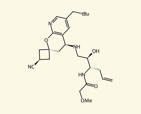 C=CC[C@H](NC(=O)COC)[C@H](O)CN[C@H]1C[C@]2(C[C@H](C#N)C2)Oc2ncc(CC(C)(C)C)cc21